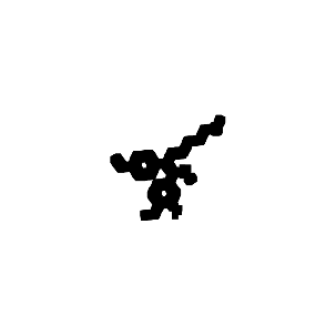 C=Cc1ccc(C(/C=C/CCCOC)=C(/N=C)c2ccc(CC)c(F)c2)cc1